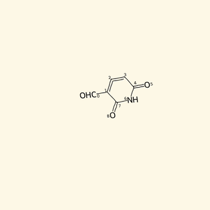 O=CC1=C=CC(=O)NC1=O